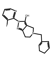 Oc1c2c(nn1-c1ncccc1F)CCN(CC1=CCCC=C1)C2